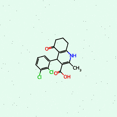 CC1=C(C(=O)O)C(c2cccc(Cl)c2Cl)C2=C(CCCC2=O)N1